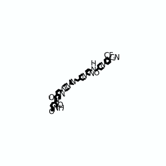 N#Cc1ccc(N2CCC(C(=O)Nc3ccc(N4CCC(CCN5CC(N6CCN(c7ccc8c(n7)CN(C7CCC(=O)NC7=O)C8=O)CC6)C5)CC4)cn3)CC2)cc1C(F)(F)F